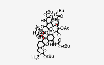 CCC1O[C@H](O[C@@H]2C(OS(C)(=O)=O)C(O[C@H]3OC(CN(C)C(=O)OC(C)(C)C)CCC3NC(=O)OC(C)(C)C)[C@H](NC(=O)OC(C)(C)C)C[C@H]2NC(=O)[C@H](CCNC(=O)OC(C)(C)C)OC(C)=O)C(OC(C)=O)[C@@H](NC(=O)OC(C)(C)C)[C@H]1OC(C)=O